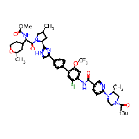 COC(=O)NC(C(=O)N1C[C@@H](C)C[C@H]1c1nc(-c2ccc(-c3cc(Cl)c(NC(=O)c4ccc(N5CCN(C(=O)C(C)(C)C)C[C@H]5C)nc4)cc3OC(F)(F)F)cc2)c[nH]1)C1CCO[C@@H](C)C1